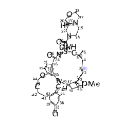 CO[C@H]1/C=C/C[C@H](C)CS(=O)(NC(=O)N2CCN3CCOC[C@H]3C2)=NC(=O)c2ccc3c(c2)N(Cc2ccc(Cl)cc2CCCCO3)C[C@@H]2CC[C@H]21